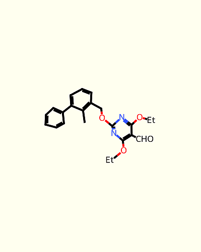 CCOc1nc(OCc2cccc(-c3ccccc3)c2C)nc(OCC)c1C=O